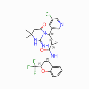 CC1(C)CC(=O)N([C@@H](c2cncc(Cl)c2)[C@@H]2C[C@H]2C(=O)N[C@H]2C[C@H](C(F)(F)F)Oc3ccccc32)C(=N)N1